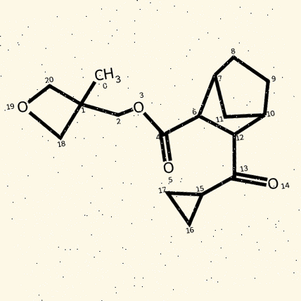 CC1(COC(=O)C2C3CCC(C3)C2C(=O)C2CC2)COC1